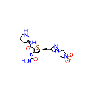 CS(=O)(=O)N1CCC(n2cc(C#Cc3cc(NC(N)=O)c(C(=O)N[C@H]4CCCCNC4)s3)cn2)CC1